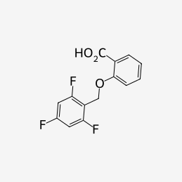 O=C(O)c1ccccc1OCc1c(F)cc(F)cc1F